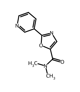 CN(C)C(=O)c1cnc(-c2cccnc2)o1